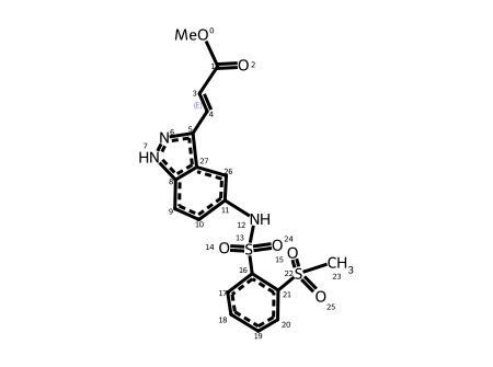 COC(=O)/C=C/c1n[nH]c2ccc(NS(=O)(=O)c3ccccc3S(C)(=O)=O)cc12